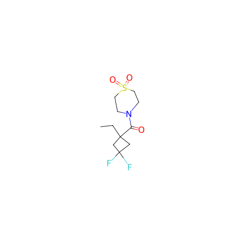 CCC1(C(=O)N2CCS(=O)(=O)CC2)CC(F)(F)C1